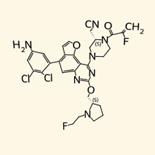 C=C(F)C(=O)N1CCN(c2nc(OC[C@@H]3CCCN3CCF)nc3cc(-c4cc(N)cc(Cl)c4Cl)c4ccoc4c23)C[C@@H]1CC#N